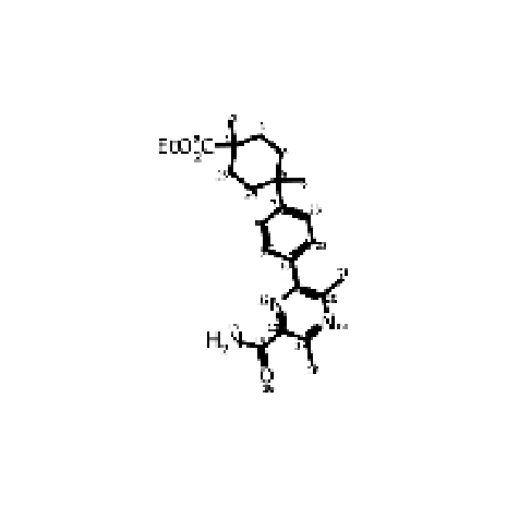 CCOC(=O)C1(C)CCC(C)(c2ccc(-c3nc(C(N)=O)c(C)nc3C)cc2)CC1